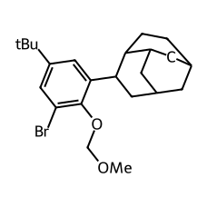 COCOc1c(Br)cc(C(C)(C)C)cc1C1CC2CC3CCC1C(C3)C2